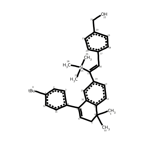 CC(C)(C)c1ccc(C2=CCC(C)(C)c3ccc(C(=Cc4ccc(CO)cc4)[Si](C)(C)C)cc32)cc1